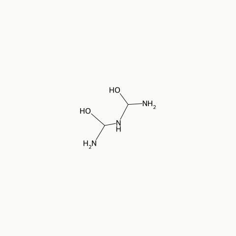 NC(O)NC(N)O